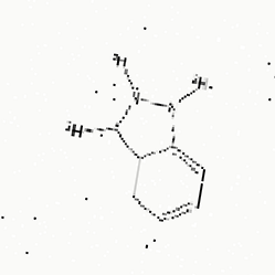 [2H]C1C2CC=CC=C2N([2H])N1[2H]